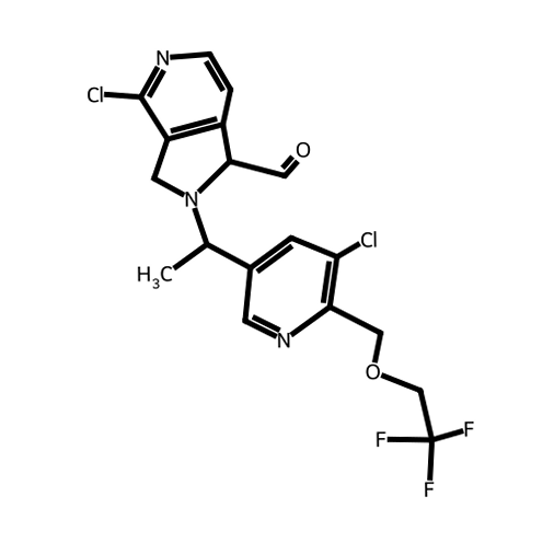 CC(c1cnc(COCC(F)(F)F)c(Cl)c1)N1Cc2c(ccnc2Cl)C1C=O